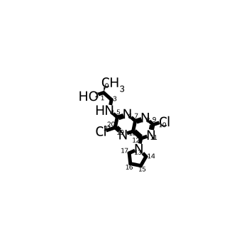 C[C@@H](O)CNc1nc2nc(Cl)nc(N3CCCC3)c2nc1Cl